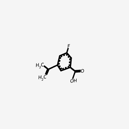 C=C(C)c1cc(F)cc(C(=O)O)c1